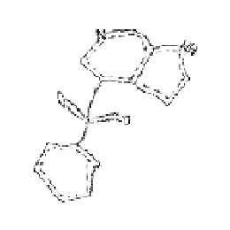 O=S(=O)(c1ccccc1)c1cncc2[nH]ccc12